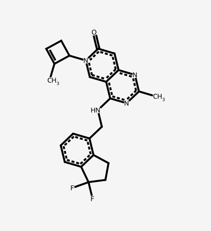 CC1=CCC1n1cc2c(NCc3cccc4c3CCC4(F)F)nc(C)nc2cc1=O